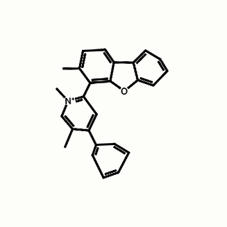 Cc1c[n+](C)c(-c2c(C)ccc3c2oc2ccccc23)cc1-c1ccccc1